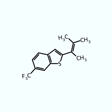 CC(C)=C(C)c1cc2ccc(C(F)(F)F)cc2s1